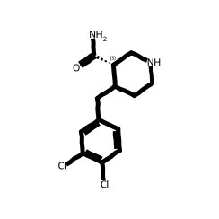 NC(=O)[C@@H]1CNCCC1Cc1ccc(Cl)c(Cl)c1